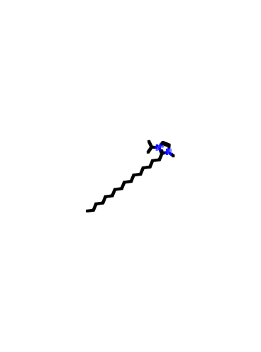 CCCCCCCCCCCCCCCCc1n(C)cc[n+]1C(C)C